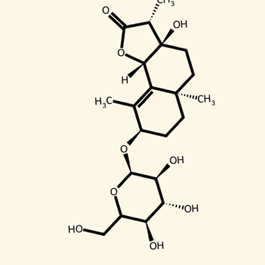 CC1=C2[C@@H]3OC(=O)[C@H](C)[C@]3(O)CC[C@@]2(C)CC[C@H]1O[C@@H]1OC(CO)[C@H](O)[C@@H](O)[C@@H]1O